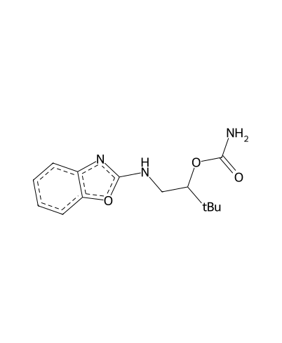 CC(C)(C)C(CNc1nc2ccccc2o1)OC(N)=O